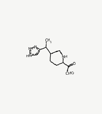 CC(c1c[nH]nn1)C1CCC(C(=O)C=O)NC1